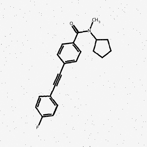 CN(C(=O)c1ccc(C#Cc2ccc(F)cc2)cc1)C1CCCC1